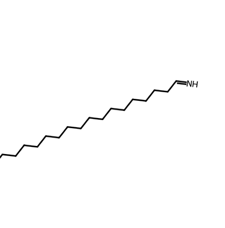 CCCCCCCCCCCCCCCCCC=N